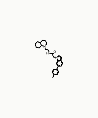 Cc1ccc(-c2ccc3ccn(CC(=O)NCCN4CCCC5CCCCC54)c3c2)cc1